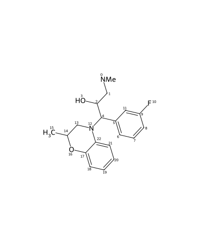 CNCC(O)C(c1cccc(F)c1)N1CC(C)Oc2ccccc21